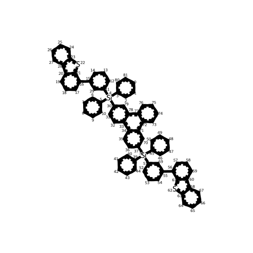 c1ccc([Si](c2ccccc2)(c2cccc(-c3cccc4c3sc3ccccc34)c2)c2ccc3c4ccc([Si](c5ccccc5)(c5ccccc5)c5cccc(-c6cccc7c6sc6ccccc67)c5)cc4c4ccccc4c3c2)cc1